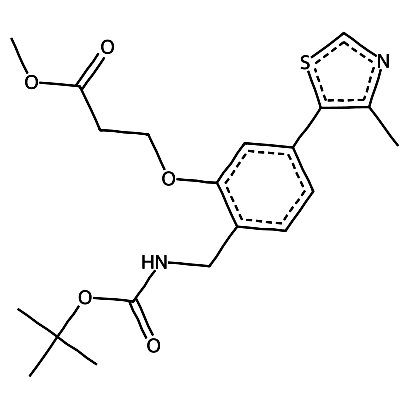 COC(=O)CCOc1cc(-c2scnc2C)ccc1CNC(=O)OC(C)(C)C